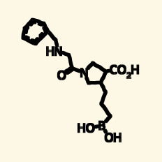 O=C(O)C1CN(C(=O)CNCc2ccccc2)CC1CCCB(O)O